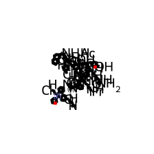 CC(=O)N[C@H](Cc1ccc2ccccc2c1)C(=O)N[C@H](Cc1ccc(Cl)cc1)C(=O)N[C@H](Cc1cccnc1)C(=O)N[C@@H](CO)C(=O)N[C@@H](Cc1ccc(O)cc1)C(=O)N[C@H](CCCCNC(N)=O)C(=O)N[C@H](CC(C)C)C(=O)N[C@@H](CCCCNC(C)C)C(=O)N1CCC[C@H]1C(=O)N[C@H](C)C(N)=O.CN(C)CCOc1ccc(/C(=C(/CCCl)c2ccccc2)c2ccccc2)cc1